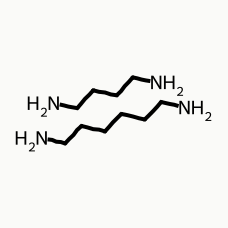 NCCCCCCN.NCCCCN